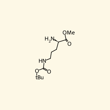 COC(=O)[C@H](N)CCCNC(=O)OC(C)(C)C